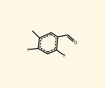 Cc1cc(C=O)c(F)cc1I